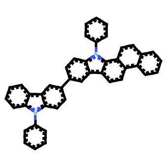 c1ccc(-n2c3ccccc3c3cc(-c4ccc5c(c4)c4ccc6c7ccccc7ccc6c4n5-c4ccccc4)ccc32)cc1